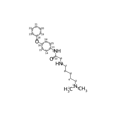 CN(C)CCCCCNCC(=O)Nc1ccc(Oc2ccccc2)cc1